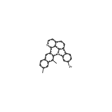 Cc1ccc2cc3c4nccc5ccc6c7ccc(C(C)C)cc7n(c3c(C)c2c1)c6c54